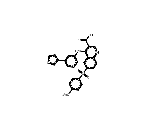 COc1ccc(S(=O)(=O)c2ccc3ncc(C(N)=O)c(Nc4cccc(-c5ccoc5)c4)c3c2)cc1